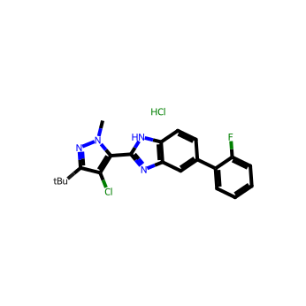 Cl.Cn1nc(C(C)(C)C)c(Cl)c1-c1nc2cc(-c3ccccc3F)ccc2[nH]1